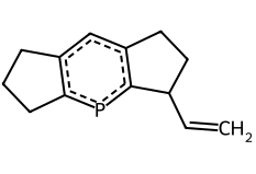 C=CC1CCc2cc3c(pc21)CCC3